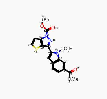 COC(=O)c1ccc2cc(-c3nn(C(=O)OC(C)(C)C)c4ccsc34)n(C(=O)O)c2c1